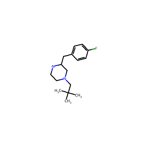 CC(C)(C)CN1CC[N]C(Cc2ccc(F)cc2)C1